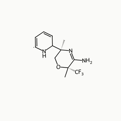 C[C@@]1(C2C=CC=[C]N2)CO[C@@](C)(C(F)(F)F)C(N)=N1